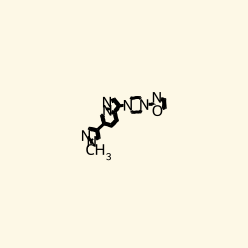 Cn1cc(-c2ccc3c(N4CCN(c5ncco5)CC4)cnn3c2)cn1